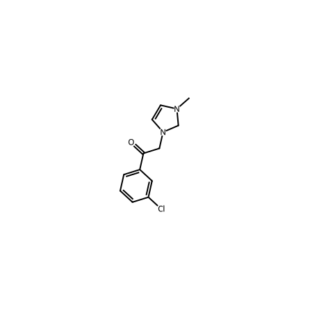 CN1C=CN(CC(=O)c2cccc(Cl)c2)C1